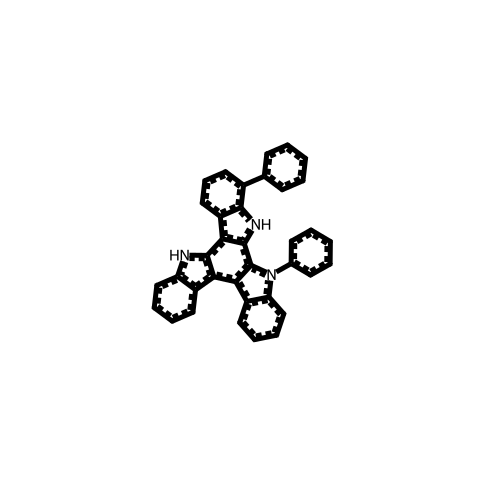 c1ccc(-c2cccc3c2[nH]c2c3c3[nH]c4ccccc4c3c3c4ccccc4n(-c4ccccc4)c23)cc1